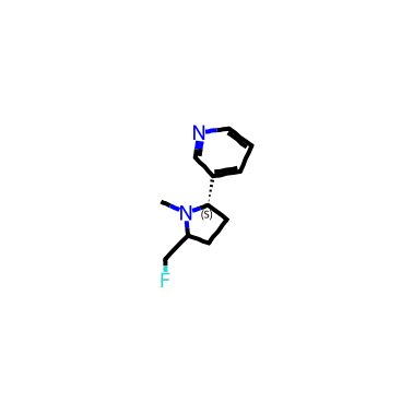 CN1C(CF)CC[C@H]1c1cccnc1